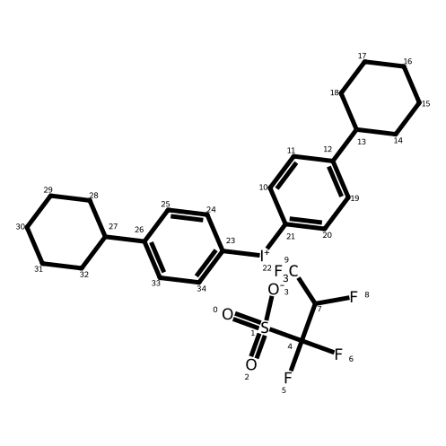 O=S(=O)([O-])C(F)(F)C(F)C(F)(F)F.c1cc(C2CCCCC2)ccc1[I+]c1ccc(C2CCCCC2)cc1